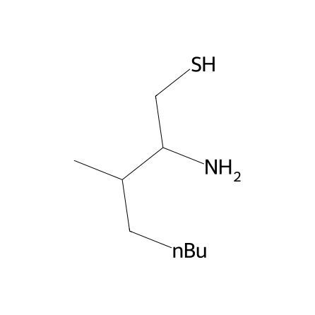 CCCCCC(C)C(N)CS